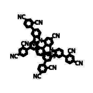 N#Cc1ccc(-c2ccc3c(c2)c2cc(-c4ccc(C#N)cc4C#N)ccc2n3-c2cc(C#N)cc(-n3c4ccc(-c5ccc(C#N)cc5C#N)cc4c4cc(-c5ccc(C#N)cc5C#N)ccc43)c2-c2c(C#N)cccc2C(F)(F)F)c(C#N)c1